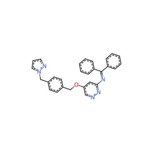 c1ccc(C(=Nc2cc(OCc3ccc(Cn4cccn4)cc3)cnn2)c2ccccc2)cc1